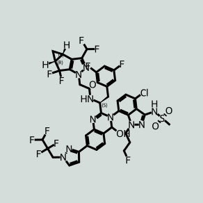 CS(=O)(=O)Nc1nn(CCCF)c2c(N3C([C@H](Cc4cc(F)cc(F)c4)NC(=O)Cn4nc(C(F)F)c5c4C(F)(F)[C@@H]4C[C@H]54)=Nc4cc(-c5ccn(CC(F)(F)C(F)F)n5)ccc4C3O)ccc(Cl)c12